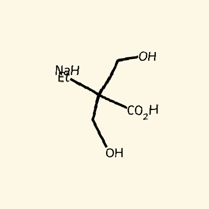 CCC(CO)(CO)C(=O)O.[NaH]